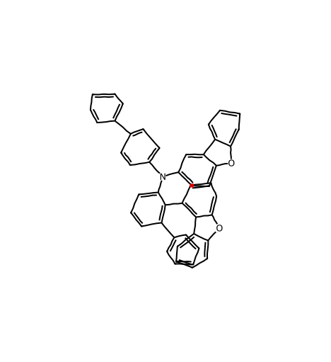 c1ccc(-c2ccc(N(c3ccc4oc5ccccc5c4c3)c3cccc(-c4ccccc4)c3-c3cccc4oc5ccccc5c34)cc2)cc1